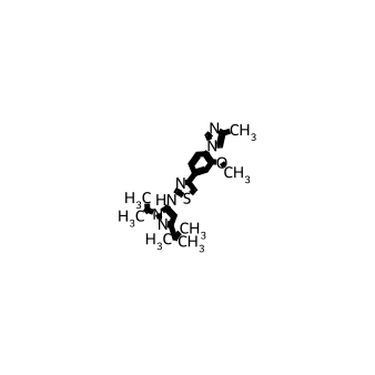 COc1cc(C2CSC(Nc3cc(C(C)(C)C)nn3C(C)C)=N2)ccc1-n1cnc(C)c1